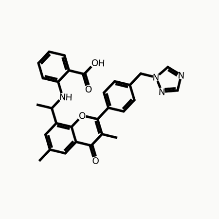 Cc1cc(C(C)Nc2ccccc2C(=O)O)c2oc(-c3ccc(Cn4cncn4)cc3)c(C)c(=O)c2c1